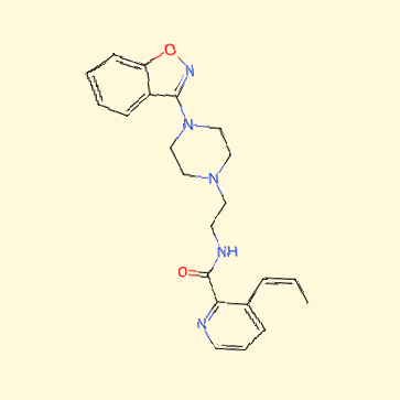 C/C=C\c1cccnc1C(=O)NCCN1CCN(c2noc3ccccc23)CC1